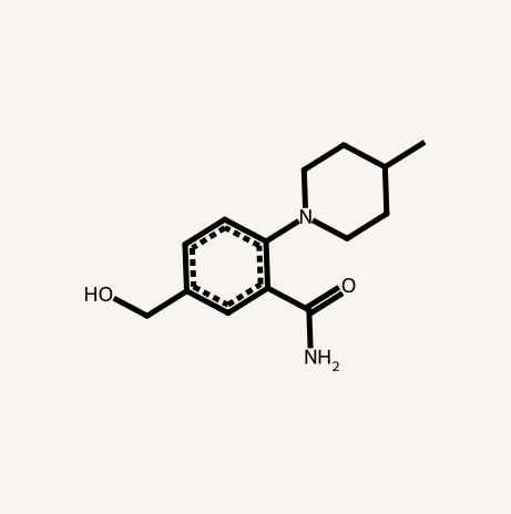 CC1CCN(c2ccc(CO)cc2C(N)=O)CC1